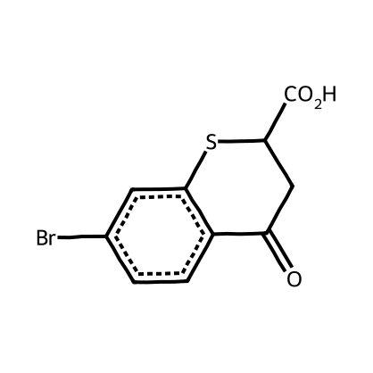 O=C1CC(C(=O)O)Sc2cc(Br)ccc21